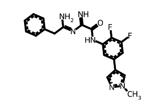 Cn1cc(-c2cc(F)c(F)c(NC(=O)C(=N)/N=C(\N)Cc3ccccc3)c2)cn1